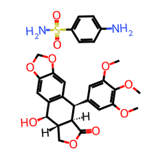 COc1cc([C@@H]2c3cc4c(cc3[C@H](O)[C@H]3COC(=O)[C@H]23)OCO4)cc(OC)c1OC.Nc1ccc(S(N)(=O)=O)cc1